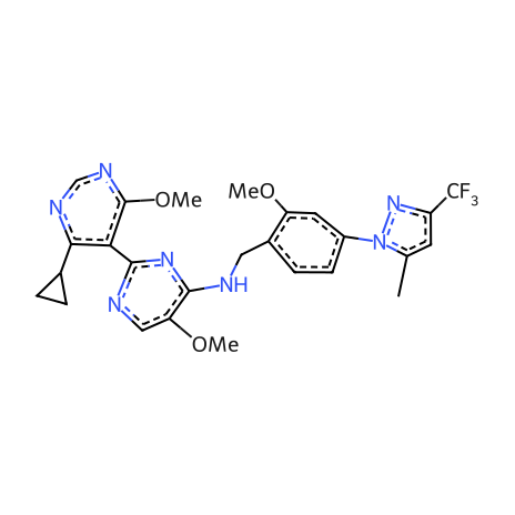 COc1cc(-n2nc(C(F)(F)F)cc2C)ccc1CNc1nc(-c2c(OC)ncnc2C2CC2)ncc1OC